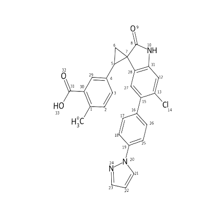 Cc1ccc(C2CC23C(=O)Nc2cc(Cl)c(-c4ccc(-n5cccn5)cc4)cc23)cc1C(=O)O